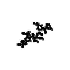 CC(=O)[C@@H]1CC(OP(=O)(O)O)CN1C(=O)[C@@H](N)[C@H](C)OC(=O)[C@@H]1C[C@@H](C)CN1C(=O)[C@H](C)N